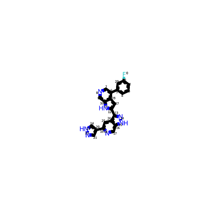 Fc1cccc(-c2cncc3[nH]c(-c4n[nH]c5cnc(-c6cn[nH]c6)cc45)cc23)c1